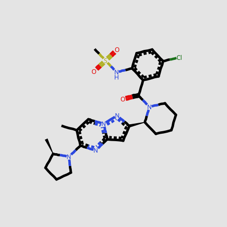 Cc1cn2nc([C@@H]3CCCCN3C(=O)c3cc(Cl)ccc3NS(C)(=O)=O)cc2nc1N1CCC[C@H]1C